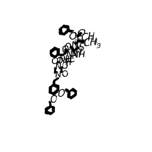 CC1(C)S[C@H]2N(C(=O)[C@@]2(NC=O)NC(=O)C(NC(=O)N2CCN(CCc3ccc(OCc4ccccc4)c(OCc4ccccc4)c3)C(=O)C2=O)c2ccccc2)[C@H]1C(=O)OCc1ccccc1